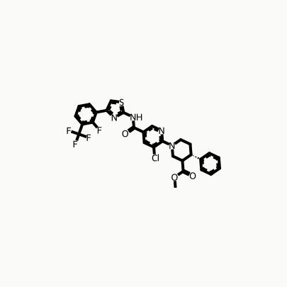 COC(=O)C1CN(c2ncc(C(=O)Nc3nc(-c4cccc(C(F)(F)F)c4F)cs3)cc2Cl)CC[C@@H]1c1ccccc1